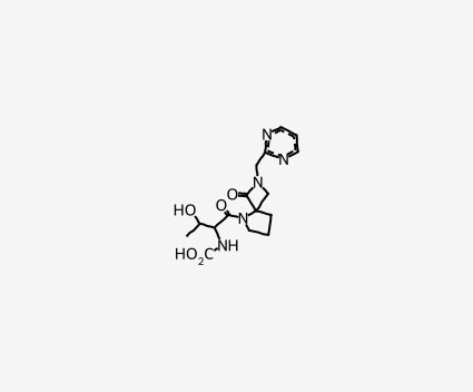 CC(O)C(NC(=O)O)C(=O)N1CCCC12CN(Cc1ncccn1)C2=O